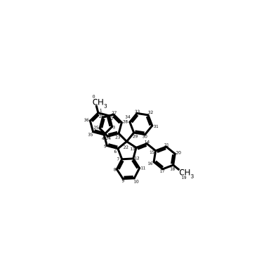 Cc1ccc(/C=C2/c3ccccc3/C(=C\c3ccc(C)cc3)C2(c2ccccc2)c2ccccc2)cc1